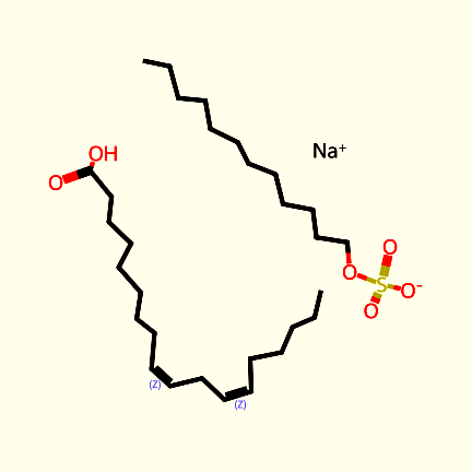 CCCCC/C=C\C/C=C\CCCCCCCC(=O)O.CCCCCCCCCCCCOS(=O)(=O)[O-].[Na+]